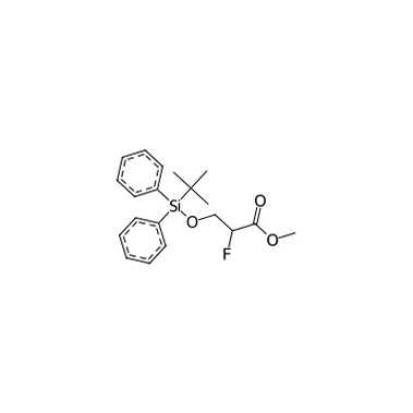 COC(=O)C(F)CO[Si](c1ccccc1)(c1ccccc1)C(C)(C)C